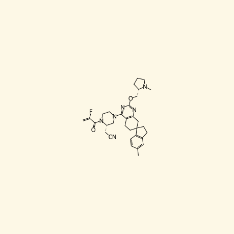 C=C(F)C(=O)N1CCN(c2nc(OC[C@@H]3CCCN3C)nc3c2CCC2(CCc4cc(C)ccc42)C3)C[C@@H]1CC#N